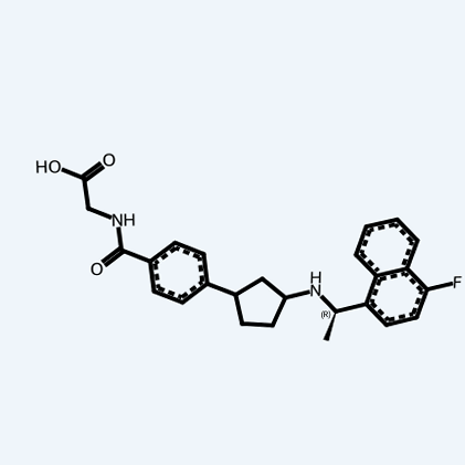 C[C@@H](NC1CCC(c2ccc(C(=O)NCC(=O)O)cc2)C1)c1ccc(F)c2ccccc12